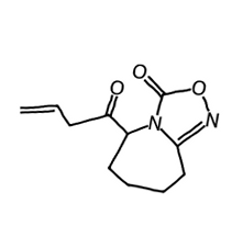 C=CCC(=O)C1CCCCc2noc(=O)n21